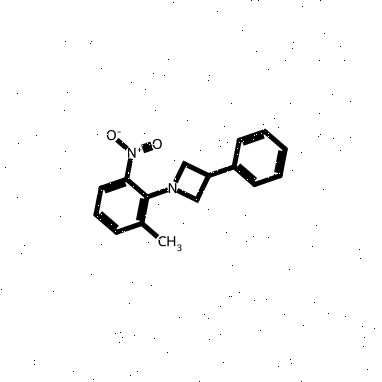 Cc1cccc([N+](=O)[O-])c1N1CC(c2ccccc2)C1